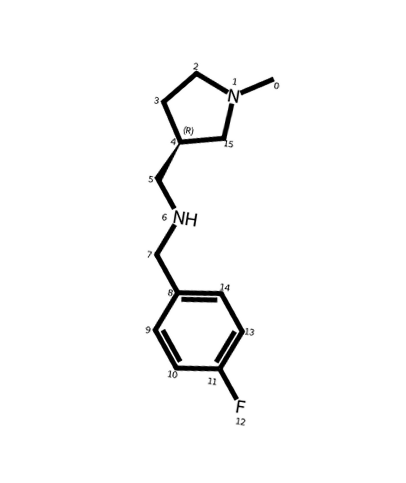 CN1CC[C@H](CNCc2ccc(F)cc2)C1